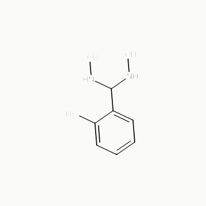 CNC(NC)c1ccccc1O